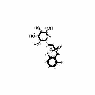 O=P(O)(CC[C@H]1O[C@H](O)[C@@H](O)[C@@H](O)[C@@H]1O)Cc1c(F)cccc1F